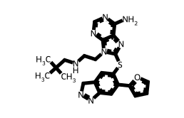 CC(C)(C)CNCCn1c(Sc2cc3c(cc2-c2ccco2)N=NC3)nc2c(N)ncnc21